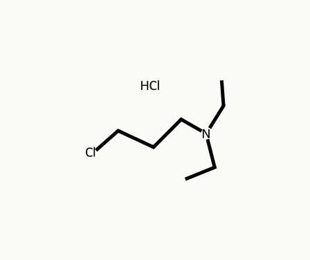 CCN(CC)CCCCl.Cl